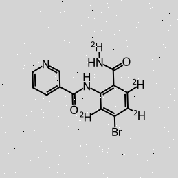 [2H]NC(=O)c1c([2H])c([2H])c(Br)c([2H])c1NC(=O)c1cccnc1